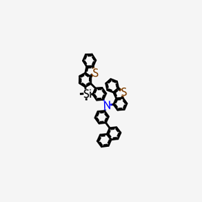 C[Si]1(C)c2cc(N(c3cccc(-c4cccc5ccccc45)c3)c3cccc4sc5ccccc5c34)ccc2-c2c1ccc1c2sc2ccccc21